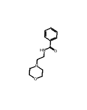 O=C(NCCN1CCOCC1)c1cc[c]cc1